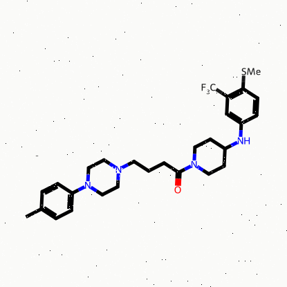 CSc1ccc(NC2CCN(C(=O)CCCN3CCN(c4ccc(C)cc4)CC3)CC2)cc1C(F)(F)F